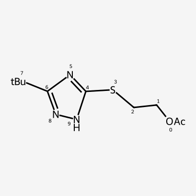 CC(=O)OCCSc1nc(C(C)(C)C)n[nH]1